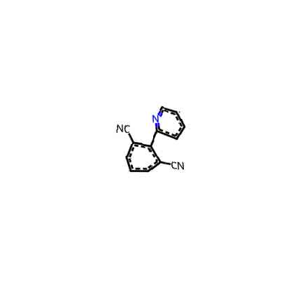 N#Cc1cccc(C#N)c1-c1cc[c]cn1